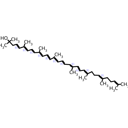 CC(C)=CCC/C(C)=C/CC/C(C)=C/C=C/C(C)=C/C=C/C=C(C)/C=C/C=C(C)/C=C/C=C(C)/C=C/CC(C)(C)O